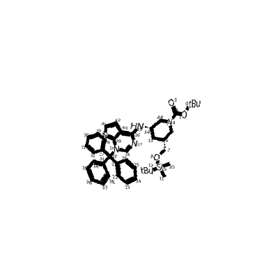 CC(C)(C)OC(=O)N1C[C@H](CO[Si](C)(C)C(C)(C)C)C[C@H](Nc2ncn(C(c3ccccc3)(c3ccccc3)c3ccccc3)c3nccc2-3)C1